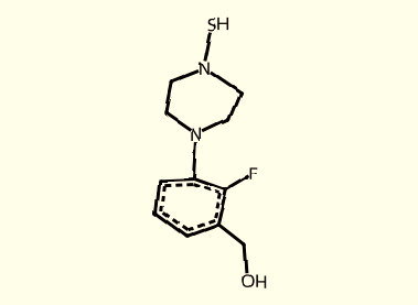 OCc1cccc(N2CCN(S)CC2)c1F